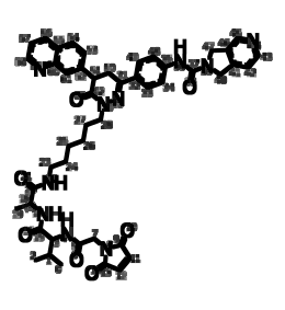 CC(C)C(NC(=O)CN1C(=O)C=CC1=O)C(=O)N[C@@H](C)C(=O)NCCCCCCN1N=C(c2ccc(NC(=O)N3Cc4ccncc4C3)cc2)CC(c2ccc3cccnc3c2)C1=O